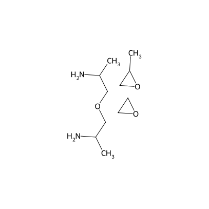 C1CO1.CC(N)COCC(C)N.CC1CO1